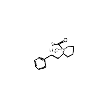 C[N@+]1(C(=O)[S-])CCCCC1CCc1ccccc1